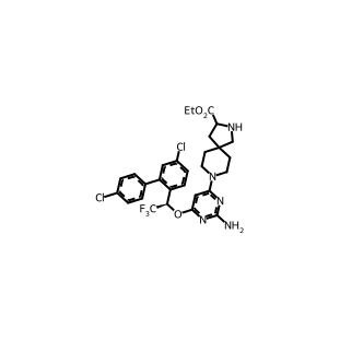 CCOC(=O)C1CC2(CCN(c3cc(O[C@H](c4ccc(Cl)cc4-c4ccc(Cl)cc4)C(F)(F)F)nc(N)n3)CC2)CN1